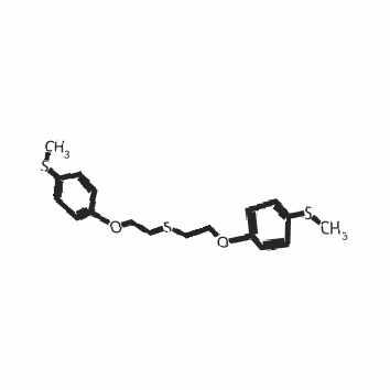 CSc1ccc(OCCSCCOc2ccc(SC)cc2)cc1